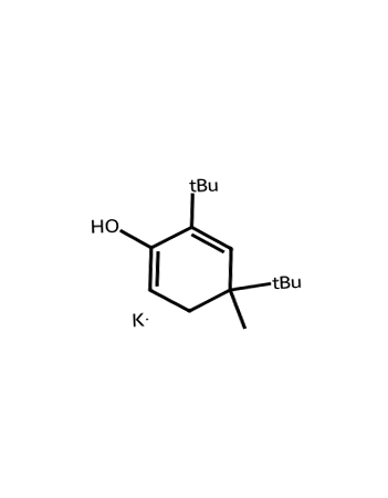 CC(C)(C)C1=CC(C)(C(C)(C)C)CC=C1O.[K]